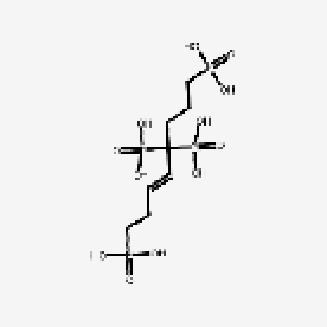 O=P(O)(O)CCC=CC(CCCP(=O)(O)O)(P(=O)(O)O)P(=O)(O)O